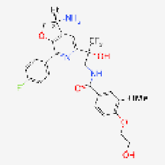 CC[C@]1(N)COc2c1cc(C(O)(CNC(=O)c1ccc(OCCO)c(OC)c1)C(F)(F)F)nc2-c1ccc(F)cc1